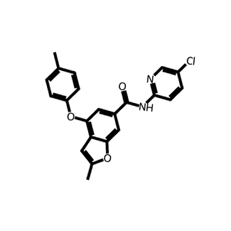 Cc1ccc(Oc2cc(C(=O)Nc3ccc(Cl)cn3)cc3oc(C)cc23)cc1